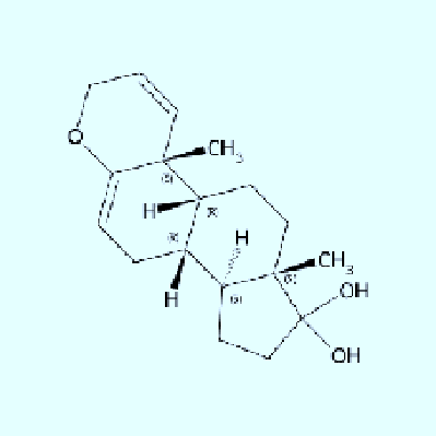 C[C@]12C=CCOC1=CC[C@@H]1[C@H]2CC[C@@]2(C)[C@H]1CCC2(O)O